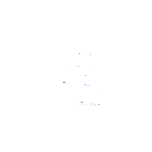 COC(=O)C(NC(=O)C1(Cc2cccc(C)c2)CCCN1C(=O)C1CCCN1C(=O)O)C(C)OC(C)=O